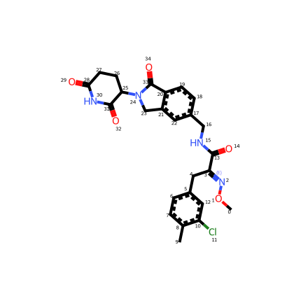 CO/N=C(\Cc1ccc(C)c(Cl)c1)C(=O)NCc1ccc2c(c1)CN(C1CCC(=O)NC1=O)C2=O